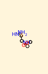 N=C(N)c1cc(-c2cccc(NC(=O)C3(Oc4ccccc4)CCCCC3)c2)cs1